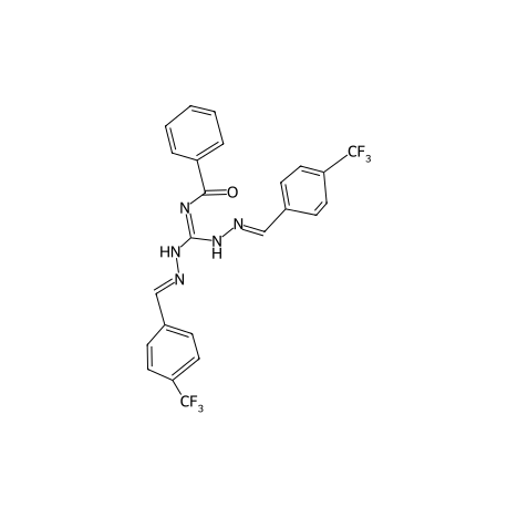 O=C(N=C(NN=Cc1ccc(C(F)(F)F)cc1)NN=Cc1ccc(C(F)(F)F)cc1)c1ccccc1